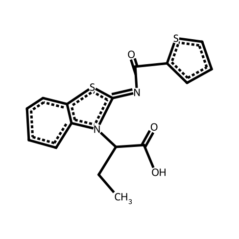 CCC(C(=O)O)n1c(=NC(=O)c2cccs2)sc2ccccc21